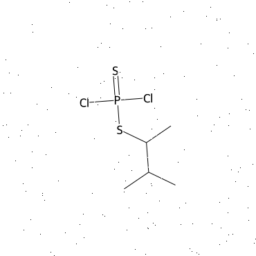 CC(C)C(C)SP(=S)(Cl)Cl